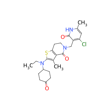 CCN(c1sc2c(c1C)C(=O)N(Cc1c(Cl)cc(C)[nH]c1=O)CC2)C1CCC(=O)CC1